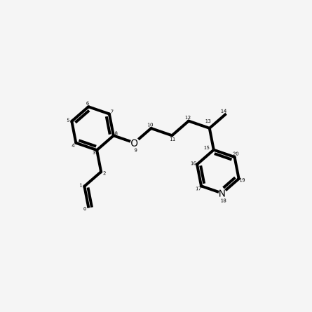 C=CCc1ccccc1OCCCC(C)c1ccncc1